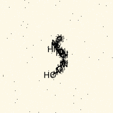 OCCN1CCC(n2cc(-c3cnc4ccc(Nc5nnc(C6CCCC6)s5)nc4c3)cn2)CC1